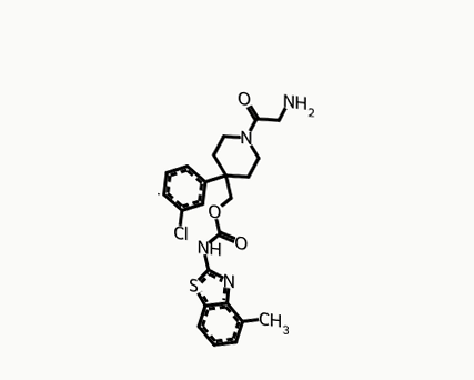 Cc1cccc2sc(NC(=O)OCC3(c4cc[c]c(Cl)c4)CCN(C(=O)CN)CC3)nc12